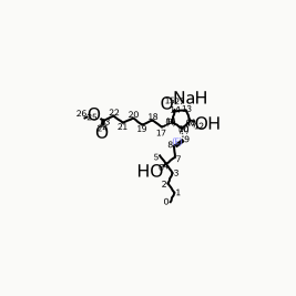 CCCCC(C)(O)C/C=C/[C@H]1[C@H](O)CC(=O)[C@@H]1CCCCCCC(=O)OC.[NaH]